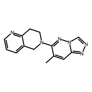 Cc1cc2nncn2nc1N1CCc2ncccc2C1